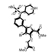 CCCCS(=O)(=O)N(c1cccc(-c2sc(C(=O)OC)c(OCC(=O)OC)c2Br)c1)C1CCNCC1